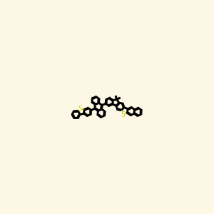 CC1(C)c2ccc(-c3c4ccccc4c(-c4ccc5c(c4)sc4ccccc45)c4ccccc34)cc2-c2cc3sc4cc5ccccc5cc4c3cc21